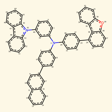 c1cc(N(c2ccc(-c3ccc4ccccc4c3)cc2)c2ccc(-c3cccc4oc5ccccc5c34)cc2)cc(-n2c3ccccc3c3ccccc32)c1